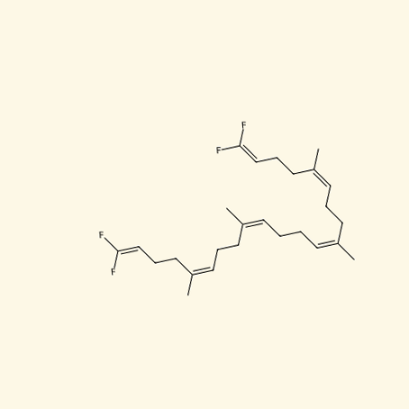 CC(=CCCC=C(C)CCC=C(C)CCC=C(F)F)CCC=C(C)CCC=C(F)F